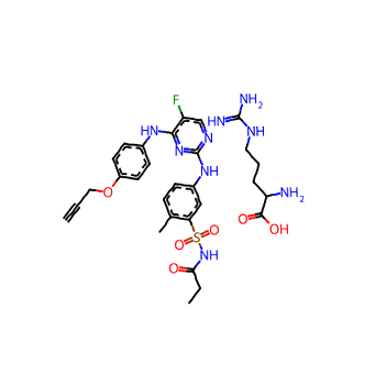 C#CCOc1ccc(Nc2nc(Nc3ccc(C)c(S(=O)(=O)NC(=O)CC)c3)ncc2F)cc1.N=C(N)NCCCC(N)C(=O)O